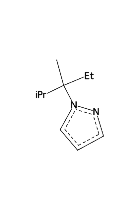 CCC(C)(C(C)C)n1cccn1